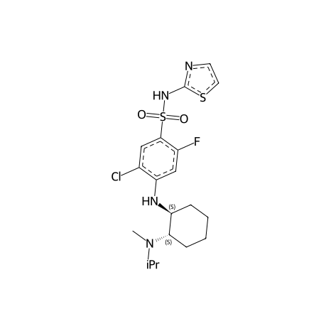 CC(C)N(C)[C@H]1CCCC[C@@H]1Nc1cc(F)c(S(=O)(=O)Nc2nccs2)cc1Cl